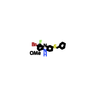 COc1cc(Br)c(F)cc1Nc1ccc(SCc2ccccc2)cc1[N+](=O)[O-]